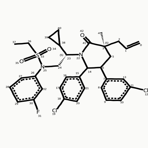 C=CC[C@@]1(C)CC(c2cccc(Cl)c2)C(c2ccc(Cl)cc2)N([C@H](CN(c2cccc(F)c2)S(=O)(=O)CC)C2CC2)C1=O